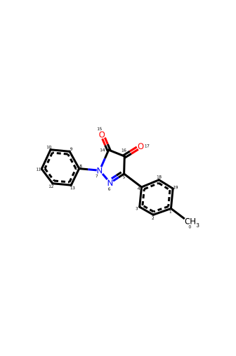 Cc1ccc(C2=NN(c3ccccc3)C(=O)C2=O)cc1